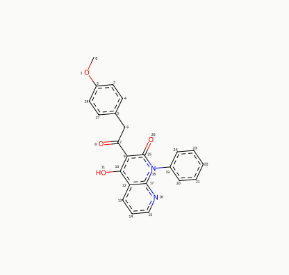 COc1ccc(CC(=O)c2c(O)c3cccnc3n(-c3ccccc3)c2=O)cc1